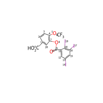 O=C(O)c1ccc(OC(F)(F)F)c(OC(=O)c2cc(I)cc(I)c2I)c1